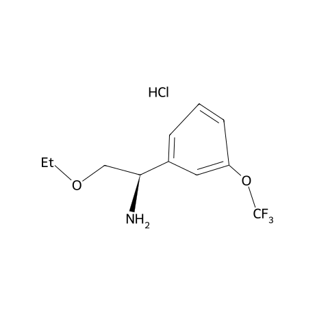 CCOC[C@H](N)c1cccc(OC(F)(F)F)c1.Cl